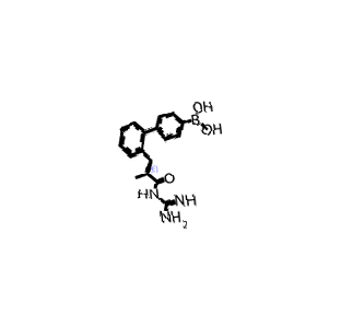 C/C(=C\c1ccccc1-c1ccc(B(O)O)cc1)C(=O)NC(=N)N